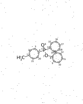 Cc1ccc(P(=O)(Oc2ccccc2)c2ccccc2)cc1